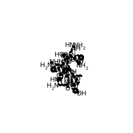 CCCC[C@H](NC(=O)[C@@H](NC(=O)[C@H](Cc1ccc(O)cc1)NC(=O)[C@@H](N)CCCCN)C(C)C)C(=O)NCC(=O)N[C@@H](Cc1c[nH]cn1)C(=O)N[C@H](Cc1ccccc1)C(=O)N[C@@H](CCCNC(=N)N)C(=O)N[C@H](Cc1c[nH]c2ccccc12)C(=O)N[C@@H](CC(=O)O)C(=O)N[C@@H](CCCNC(=N)N)C(=O)N[C@@H](Cc1ccccc1)C(=O)NCC(N)=O